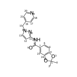 CC1(C)Oc2ccc(C(=O)Nc3ccn(Cc4ccncc4)n3)cc2O1